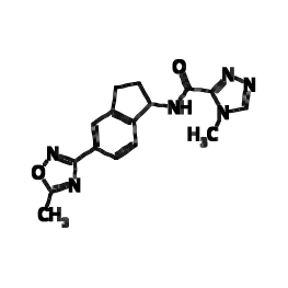 Cc1nc(-c2ccc3c(c2)CCC3NC(=O)c2nncn2C)no1